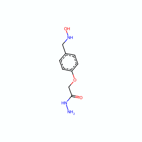 NNC(=O)COc1ccc(CNO)cc1